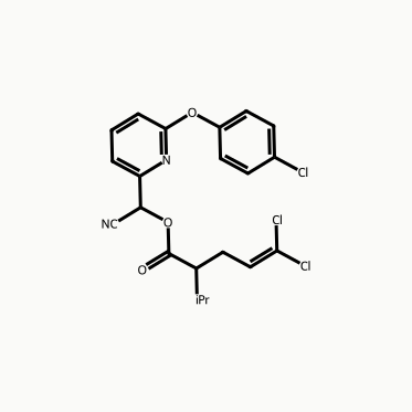 CC(C)C(CC=C(Cl)Cl)C(=O)OC(C#N)c1cccc(Oc2ccc(Cl)cc2)n1